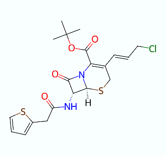 CC(C)(C)OC(=O)C1=C(C=CCCl)CS[C@H]2[C@H](NC(=O)Cc3cccs3)C(=O)N12